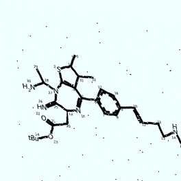 CC1SC2=C(C(c3ccc(/C=C/CCNO)cc3)=N[C@@H](CC(=O)OC(C)(C)C)C(=N)N2C(C)N)C1C